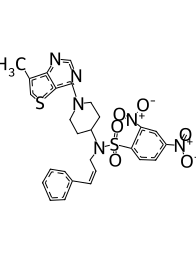 Cc1csc2c(N3CCC(N(C/C=C\c4ccccc4)S(=O)(=O)c4ccc([N+](=O)[O-])cc4[N+](=O)[O-])CC3)ncnc12